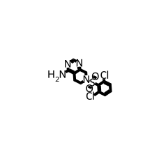 Nc1ncnc2c1CCN(S(=O)(=O)c1c(Cl)cccc1Cl)C2